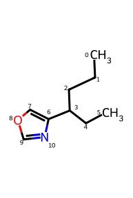 CCCC(CC)c1cocn1